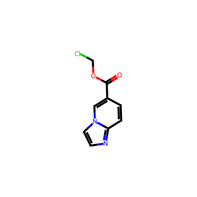 O=C(OCCl)c1ccc2nccn2c1